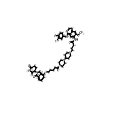 COc1cc2ncnc(Nc3ccc(F)c(Cl)c3)c2cc1NC(=O)CCCN1CCC(N2CCN(C(=O)CCCCOc3cccc4c3CN(C3CCC(=O)NC3=O)C4=O)CC2)CC1